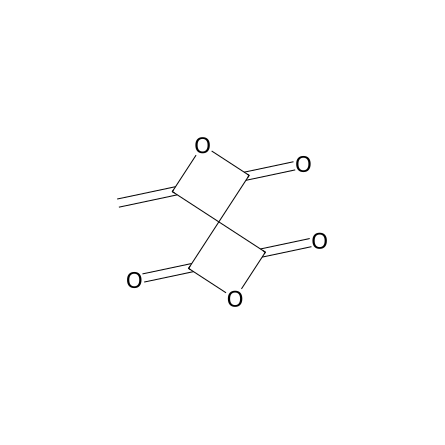 C=C1OC(=O)C12C(=O)OC2=O